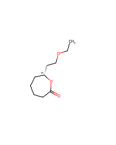 CCOCC[C@H]1CCCCC(=O)O1